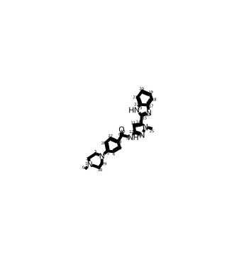 CN1CCN(c2ccc(C(=O)Nc3cc(-c4nc5ccccc5[nH]4)n(C)n3)cc2)CC1